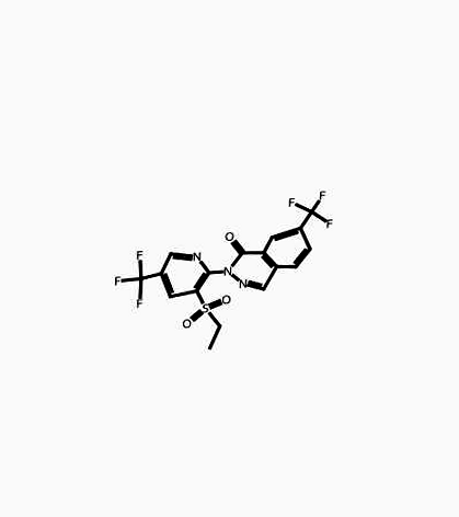 CCS(=O)(=O)c1cc(C(F)(F)F)cnc1-n1ncc2ccc(C(F)(F)F)cc2c1=O